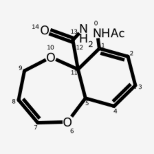 CC(=O)NC1=C[C]=CC2OC=CCOC12C(N)=O